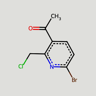 CC(=O)c1ccc(Br)nc1CCl